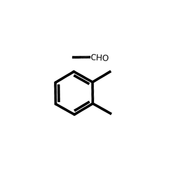 CC=O.Cc1ccccc1C